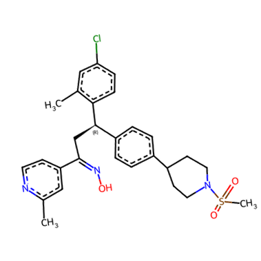 Cc1cc(C(C[C@H](c2ccc(C3CCN(S(C)(=O)=O)CC3)cc2)c2ccc(Cl)cc2C)=NO)ccn1